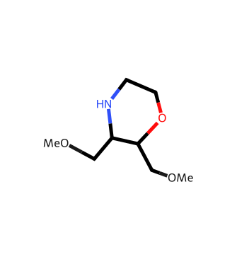 COCC1NCCOC1COC